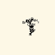 Cc1nn(Cc2c(F)cc(C#N)cc2F)c(C)c1NC(=O)c1cc(C(N)=O)nc2ccc(Br)cc12